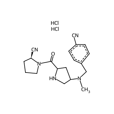 CN(Cc1ccc(C#N)cc1)C1CNC(C(=O)N2CCC[C@H]2C#N)C1.Cl.Cl